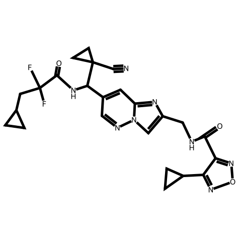 N#CC1(C(NC(=O)C(F)(F)CC2CC2)c2cnn3cc(CNC(=O)c4nonc4C4CC4)nc3c2)CC1